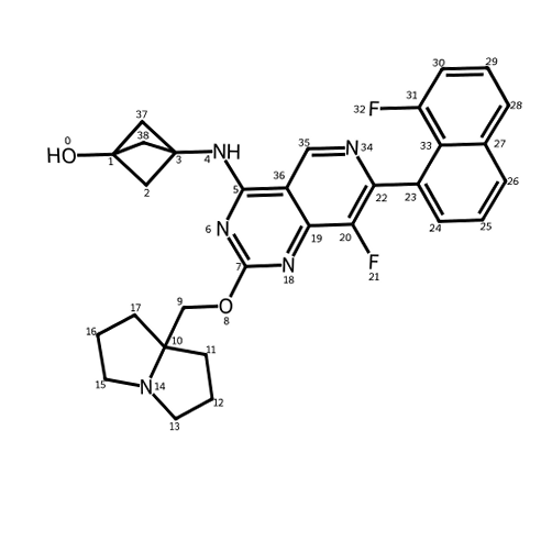 OC12CC(Nc3nc(OCC45CCCN4CCC5)nc4c(F)c(-c5cccc6cccc(F)c56)ncc34)(C1)C2